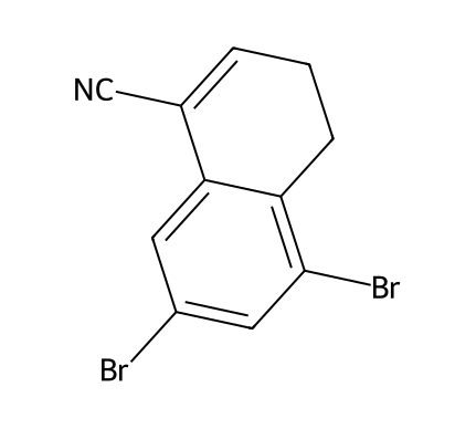 N#CC1=CCCc2c(Br)cc(Br)cc21